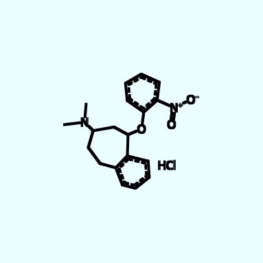 CN(C)C1CCc2ccccc2C(Oc2ccccc2[N+](=O)[O-])C1.Cl